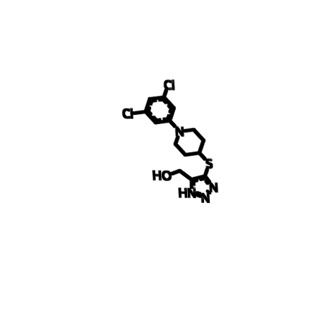 OCc1[nH]nnc1SC1CCN(c2cc(Cl)cc(Cl)c2)CC1